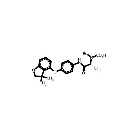 C[C@H](C(=O)Nc1ccc(Oc2cccc3c2C(C)(C)CO3)cc1)N(C(=O)O)C(C)(C)C